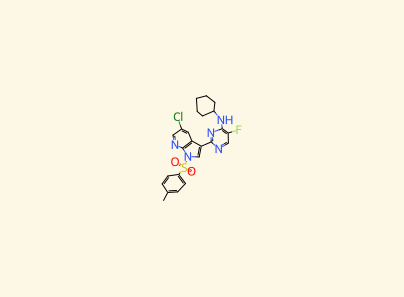 Cc1ccc(S(=O)(=O)n2cc(-c3ncc(F)c(NC4CCCCC4)n3)c3cc(Cl)cnc32)cc1